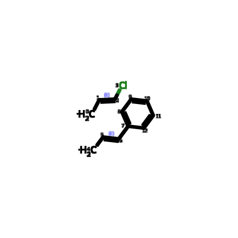 [CH2]/C=C/Cl.[CH2]/C=C/c1ccccc1